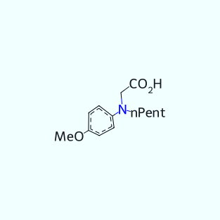 CCCCCN(CC(=O)O)c1ccc(OC)cc1